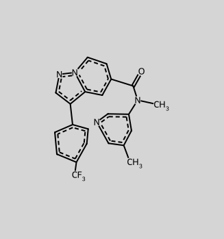 Cc1cncc(N(C)C(=O)c2ccn3ncc(-c4ccc(C(F)(F)F)cc4)c3c2)c1